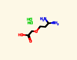 Cl.Cl.NC(N)CCOCC(=O)O